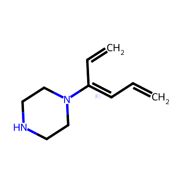 C=C/C=C(\C=C)N1CCNCC1